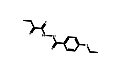 CCOc1ccc(C(=O)NNC(=O)C(=O)CC)cc1